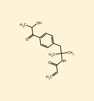 C=CC(=O)NC(C)(C)Cc1ccc(C(=O)C(C)O)cc1